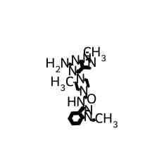 CCn1nc(NC(=O)N2CCN(c3nc(N)nc4c3cnn4C)[C@@H](C)C2)c2ccccc21